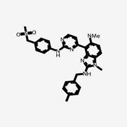 CNc1ccc2c(nc(NCc3ccc(C)cc3)n2C)c1-c1ccnc(Nc2ccc(CS(C)(=O)=O)cc2)n1